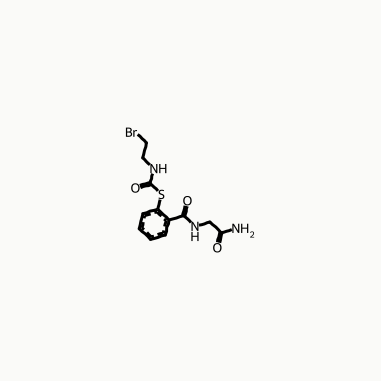 NC(=O)CNC(=O)c1ccccc1SC(=O)NCCBr